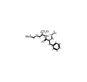 CCOC(=O)[C@H](CSCSC)NC(=O)[C@@H](CSC(C)=O)Cc1ccccc1